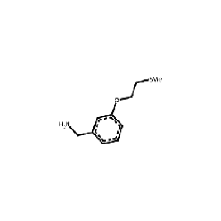 CSCCOc1cccc(CN)c1